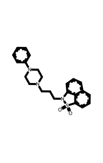 O=S1(=O)c2cccc3cccc(c23)N1CCCN1CCN(c2ccccc2)CC1